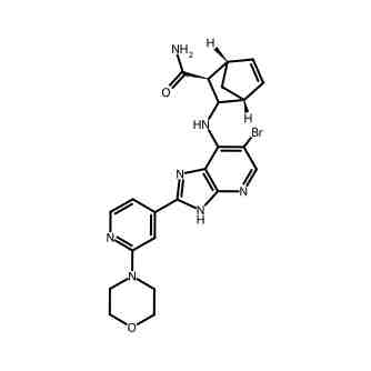 NC(=O)[C@@H]1C(Nc2c(Br)cnc3[nH]c(-c4ccnc(N5CCOCC5)c4)nc23)[C@H]2C=C[C@@H]1C2